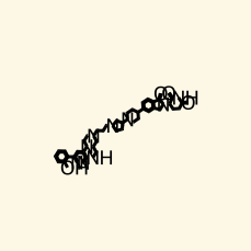 O=C1CCC(N2Cc3cc(C4CCN(C5CCN(CCCN6CCN7c8cc(-c9ccccc9O)nnc8NCC7C6)C5)CC4)ccc3C2=O)C(=O)N1